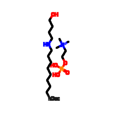 CCCCCCCCCCCCCCCCCCNCCCCO.C[N+](C)(C)CCOP(=O)(O)O